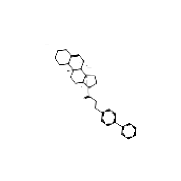 C[C@]12CC[C@H]3[C@@H](CC=C4C[C@@H](O)CC[C@@]43C)[C@@H]1CC[C@@H]2C(=O)CCc1ccc(-c2ccccc2)cc1